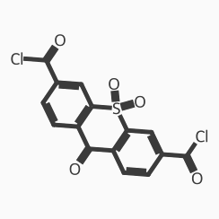 O=C(Cl)c1ccc2c(c1)S(=O)(=O)c1cc(C(=O)Cl)ccc1C2=O